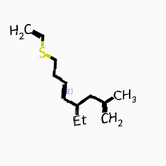 C=CSCC/C=C/C(CC)CC(=C)C